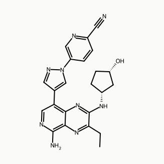 CCc1nc2c(N)ncc(-c3cnn(-c4ccc(C#N)nc4)c3)c2nc1N[C@@H]1CC[C@H](O)C1